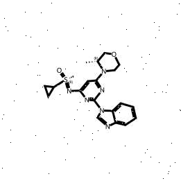 C[C@@H]1COCCN1c1cc(N=[S@](C)(=O)C2CC2)nc(-n2cnc3ccccc32)n1